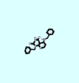 O=c1[nH]c(=O)n(Cc2ccccc2)c2nccc(NCc3ccccc3)c12